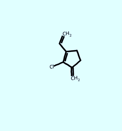 C=CC1=C(Cl)C(=C)CC1